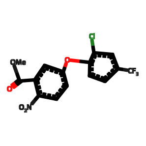 COC(=O)c1cc(Oc2ccc(C(F)(F)F)cc2Cl)ccc1[N+](=O)[O-]